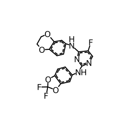 Fc1cnc(Nc2ccc3c(c2)OC(F)(F)O3)nc1Nc1ccc2c(c1)OCCO2